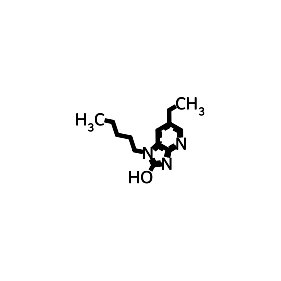 CCCCCn1c(O)nc2ncc(CC)cc21